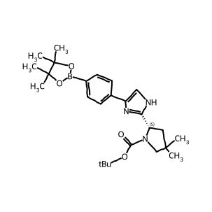 CC1(C)C[C@@H](c2nc(-c3ccc(B4OC(C)(C)C(C)(C)O4)cc3)c[nH]2)N(C(=O)OC(C)(C)C)C1